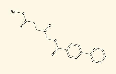 COC(=O)CCC(=O)COC(=O)c1ccc(-c2ccccc2)cc1